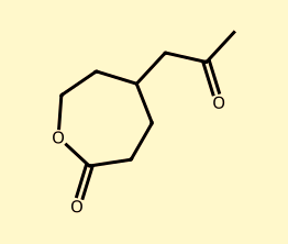 CC(=O)CC1CCOC(=O)CC1